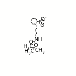 CC(C)(C)OC(=O)NCCCCc1ccccc1[N+](=O)[O-]